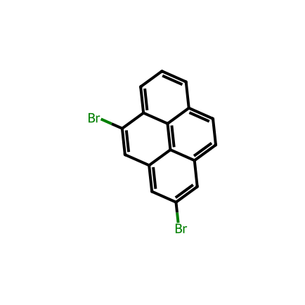 Brc1cc2ccc3cccc4c(Br)cc(c1)c2c34